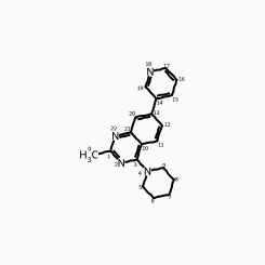 Cc1nc(N2CCCCC2)c2ccc(-c3cccnc3)cc2n1